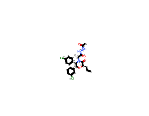 C=CC[C@H]1O[C@H](c2cccc(Cl)c2)[C@H](c2ccc(Cl)cc2)N([C@H](C)C(=O)NNC(C)=O)C1=O